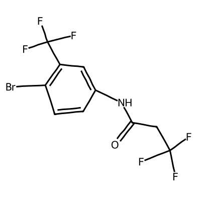 O=C(CC(F)(F)F)Nc1ccc(Br)c(C(F)(F)F)c1